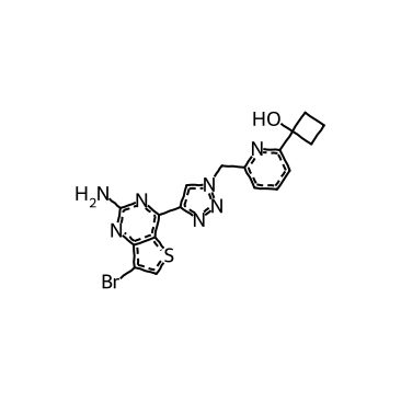 Nc1nc(-c2cn(Cc3cccc(C4(O)CCC4)n3)nn2)c2scc(Br)c2n1